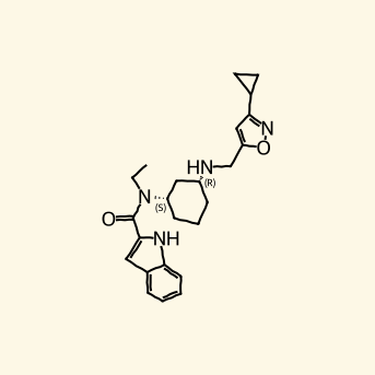 CCN(C(=O)c1cc2ccccc2[nH]1)[C@H]1CCC[C@@H](NCc2cc(C3CC3)no2)C1